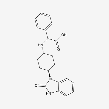 O=C(O)C(N[C@H]1CC[C@H](n2c(=O)[nH]c3ccccc32)CC1)c1ccccc1